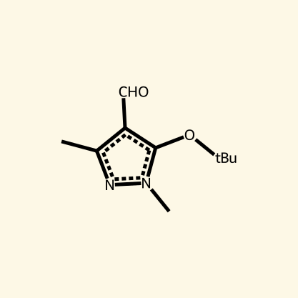 Cc1nn(C)c(OC(C)(C)C)c1C=O